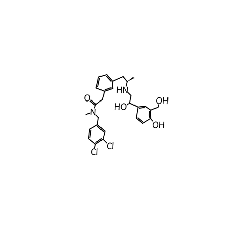 C[C@H](Cc1cccc(CC(=O)N(C)Cc2ccc(Cl)c(Cl)c2)c1)NC[C@H](O)c1ccc(O)c(CO)c1